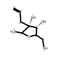 BC1OC(CO)[C@@H](O)[C@]1(O)CC=C